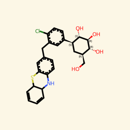 OC[C@H]1C[C@@H](c2ccc(Cl)c(Cc3ccc4c(c3)SC3C=CC=CC3N4)c2)[C@H](O)[C@@H](O)[C@@H]1O